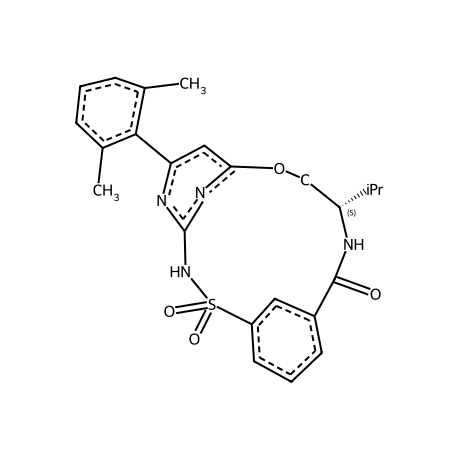 Cc1cccc(C)c1-c1cc2nc(n1)NS(=O)(=O)c1cccc(c1)C(=O)N[C@@H](C(C)C)CO2